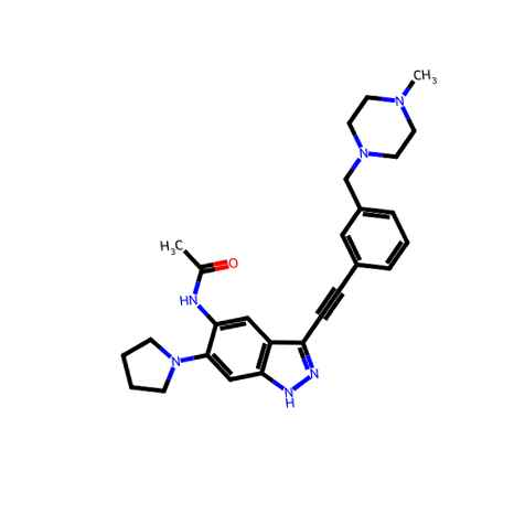 CC(=O)Nc1cc2c(C#Cc3cccc(CN4CCN(C)CC4)c3)n[nH]c2cc1N1CCCC1